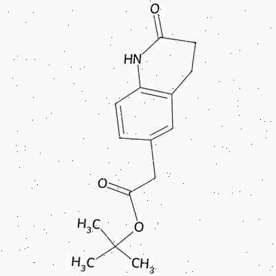 CC(C)(C)OC(=O)Cc1ccc2c(c1)CCC(=O)N2